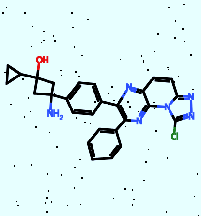 NC1(c2ccc(-c3nc4ccc5nnc(Cl)n5c4nc3-c3ccccc3)cc2)CC(O)(C2CC2)C1